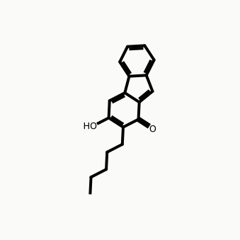 CCCCCC1=C(O)C=C2C(=Cc3ccccc32)C1=O